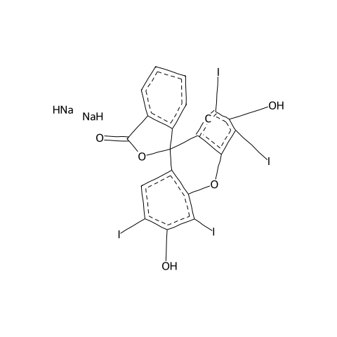 O=C1OC2(c3ccccc31)c1cc(I)c(O)c(I)c1Oc1c2cc(I)c(O)c1I.[NaH].[NaH]